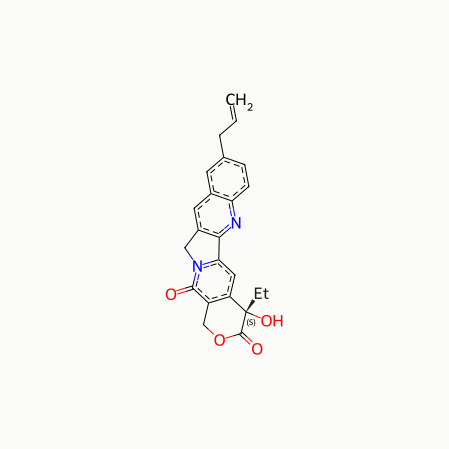 C=CCc1ccc2nc3c(cc2c1)Cn1c-3cc2c(c1=O)COC(=O)[C@]2(O)CC